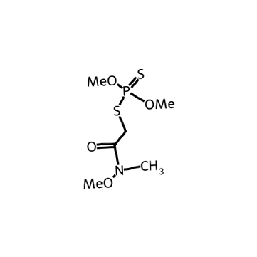 CON(C)C(=O)CSP(=S)(OC)OC